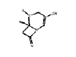 O=C1C[C@H]2N1C=C(O)C[S+]2[O-]